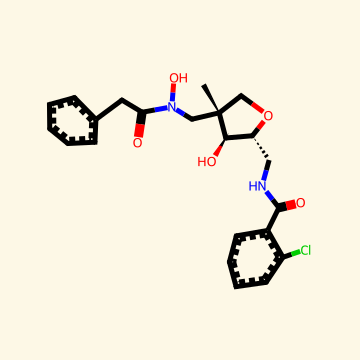 C[C@@]1(CN(O)C(=O)Cc2ccccc2)CO[C@H](CNC(=O)c2ccccc2Cl)[C@H]1O